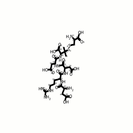 CC(C)(SSCC(N)C(=O)O)C(NC(=O)C(CC(=O)O)NC(=O)C(CC(=O)O)NC(=O)C(CCCNC(=N)N)NC(=O)C(N)CC(=O)O)C(=O)O